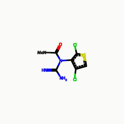 CNC(=O)N(C(=N)N)c1c(Cl)csc1Cl